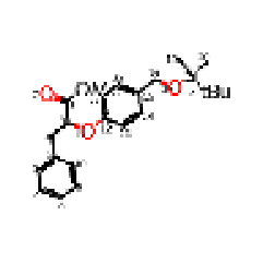 COC(=O)C(Cc1ccccc1)Oc1ccc(CO[Si](C)(C)C(C)(C)C)cc1